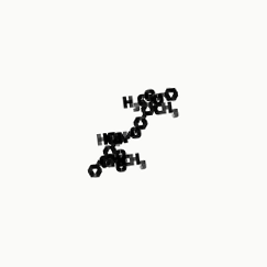 Cc1cc(-c2ccc(OCCNC[C@@H](O)c3ccc(OCc4ccccc4)c(NS(C)(=O)=O)c3)cc2)cc(C)c1C(=O)OCc1ccccc1